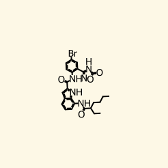 CCCCC(CC)C(=O)Nc1cccc2cc(C(=O)Nc3ccc(Br)cc3-c3noc(=O)[nH]3)[nH]c12